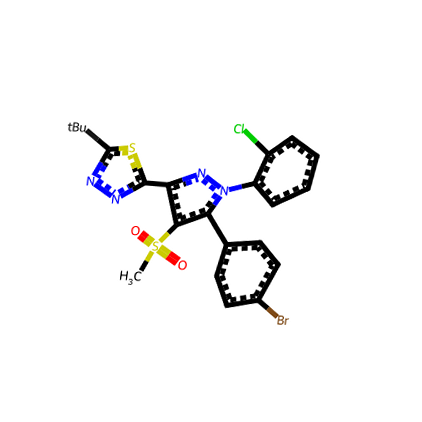 CC(C)(C)c1nnc(-c2nn(-c3ccccc3Cl)c(-c3ccc(Br)cc3)c2S(C)(=O)=O)s1